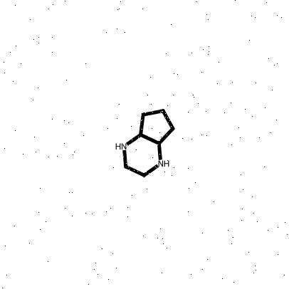 [CH]1CNC2CCCC2N1